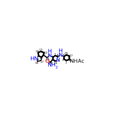 CC(=O)Nc1ccc(Nc2cc(NCc3cccc4c3CCN4)c(C(N)=O)cn2)cc1